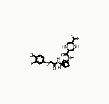 CN(C(=O)C1CNC(C(F)F)CN1)C12CC(C1)[C@@H](NC(=O)COc1ccc(Cl)c(F)c1)C2